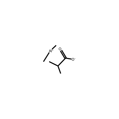 CC(C)C(=O)[O-].[CH3][Al+][CH3]